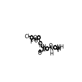 Cc1n[nH]c2ccc(NC(=O)c3ccc4c(c3)nc(CN3CC=C(c5cccc6c5O[C@@](C)(c5ccc(Cl)cc5F)O6)CC3)n4C[C@@H]3CCO3)cc12